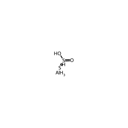 O=[SH](O)=S.[AlH3]